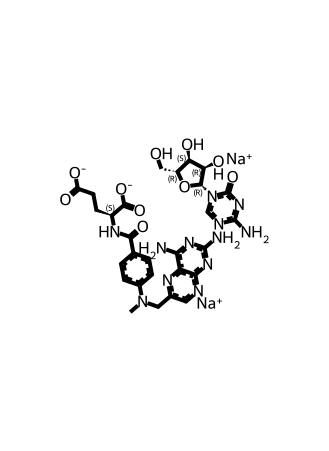 CN(Cc1cnc2nc(N)nc(N)c2n1)c1ccc(C(=O)N[C@@H](CCC(=O)[O-])C(=O)[O-])cc1.Nc1ncn([C@@H]2O[C@H](CO)[C@@H](O)[C@H]2O)c(=O)n1.[Na+].[Na+]